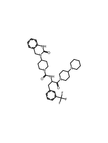 O=C(NC(Cc1cccc(C(F)(F)F)c1)C(=O)N1CCC(N2CCCCC2)CC1)N1CCC(N2Cc3ccccc3NC2=O)CC1